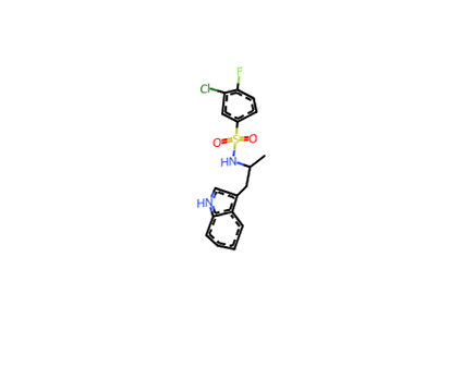 CC(Cc1c[nH]c2ccccc12)NS(=O)(=O)c1ccc(F)c(Cl)c1